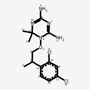 CC(CON1C(N)=NC(N)=NC1(C)C)c1ccc(Cl)cc1Cl